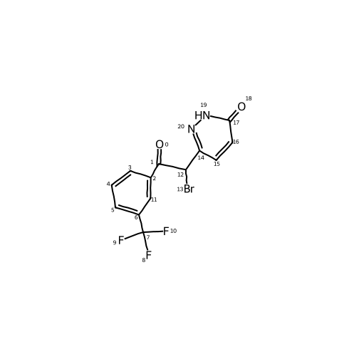 O=C(c1cccc(C(F)(F)F)c1)C(Br)c1ccc(=O)[nH]n1